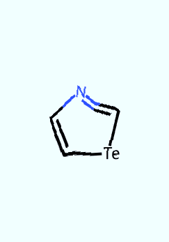 c1c[te]cn1